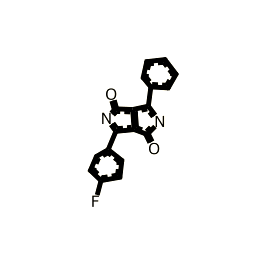 O=c1nc(-c2ccc(F)cc2)c2c(=O)nc(-c3ccccc3)c1=2